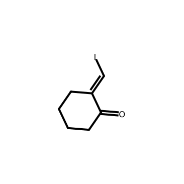 O=C1CCCC/C1=C\I